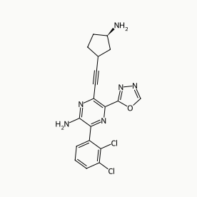 Nc1nc(C#CC2CC[C@@H](N)C2)c(-c2nnco2)nc1-c1cccc(Cl)c1Cl